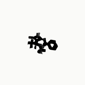 C[SiH](C)O[C@](C)([C@H]1C(=O)N[C@@H]1OC(=O)c1ccccc1)C(C)(C)C